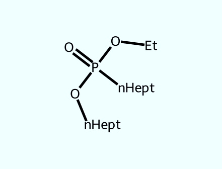 CCCCCCCOP(=O)(CCCCCCC)OCC